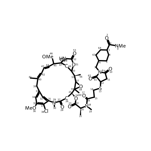 CNC(=O)C1CCC(CN2C(=O)CC(SCCC(=O)N(C)[C@@H](C)C(=O)O[C@H]3CC(=O)N(C)c4cc(cc(OC)c4Cl)C/C(C)=C/C=C/C(OC)C4(O)CC(OC(=O)N4)[C@@H](C)C4OC43C)C2=O)CC1